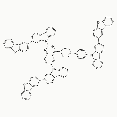 c1ccc2c(c1)sc1ccc(-c3ccc4c5ccccc5n(-c5ccc(-c6ccc(-c7nc(-n8c9ccccc9c9ccc(-c%10ccc%11sc%12ccccc%12c%11c%10)cc98)nc8ccc(-n9c%10ccccc%10c%10ccc(-c%11ccc%12sc%13ccccc%13c%12c%11)cc%109)cc78)cc6)cc5)c4c3)cc12